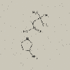 CC(C)(C)OC(=O)NN1CCC(N)C1